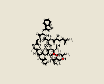 C[C@H](NC(=O)CNC(=O)[C@H](Cc1c[nH]c2ccccc12)NC(=O)[C@H](CC(=O)O)NC(=O)[C@@H](N)CCC(N)=O)C(=O)N[C@@H](Cc1c[nH]cn1)C(=O)N[C@@H](CCCNC(=N)N)C(=O)N[C@@H](CS)C(=O)N[C@H](C(N)=O)[C@@H](C)O